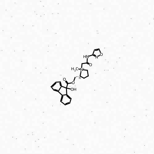 C[N+]1(CC(=O)Nc2ccon2)CCC[C@@H]1COC(=O)C1(O)c2ccccc2-c2ccccc21